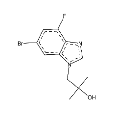 CC(C)(O)Cn1cnc2c(F)cc(Br)cc21